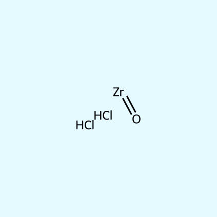 Cl.Cl.[O]=[Zr]